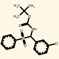 CC(C)(C)OC(=O)NC(c1cccc(Cl)c1)S(=O)(=O)c1ccccc1